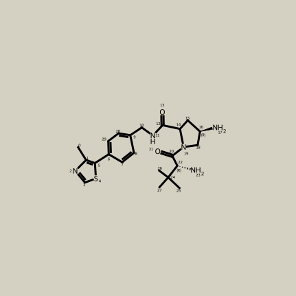 Cc1ncsc1-c1ccc(CNC(=O)C2C[C@@H](N)CN2C(=O)[C@H](N)C(C)(C)C)cc1